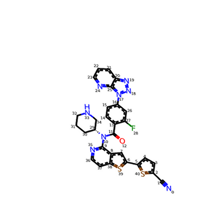 N#Cc1ccc(-c2cc3c(N(C(=O)c4ccc(-n5nnc6cccnc65)cc4F)[C@@H]4CCCNC4)nccc3s2)s1